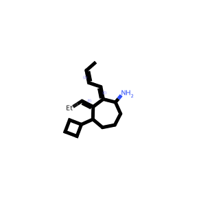 C\C=C/C=C1\C(=C\CC)C(C2CCC2)CCCC1N